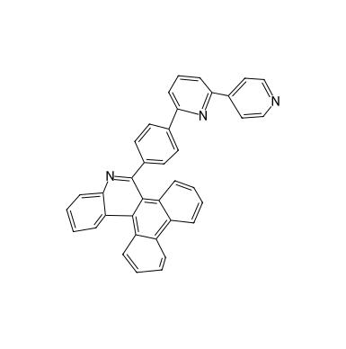 c1cc(-c2ccncc2)nc(-c2ccc(-c3nc4ccccc4c4c5ccccc5c5ccccc5c34)cc2)c1